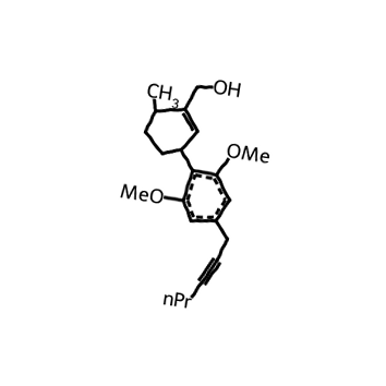 CCCC#CCc1cc(OC)c(C2C=C(CO)C(C)CC2)c(OC)c1